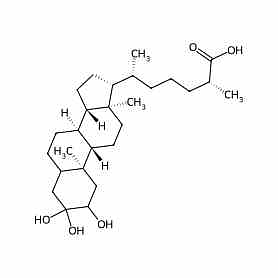 C[C@H](CCC[C@@H](C)[C@H]1CC[C@H]2[C@@H]3CCC4CC(O)(O)C(O)C[C@]4(C)[C@H]3CC[C@]12C)C(=O)O